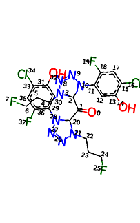 O=C(C1N(CCCF)N=NN1c1cc(O)c(Cl)cc1F)C1N(CCCF)N=NN1c1cc(O)c(Cl)cc1F